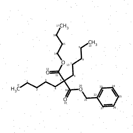 CCCCCC(CCCCC)(C(=O)OCCCC)C(=O)OCc1ccccc1